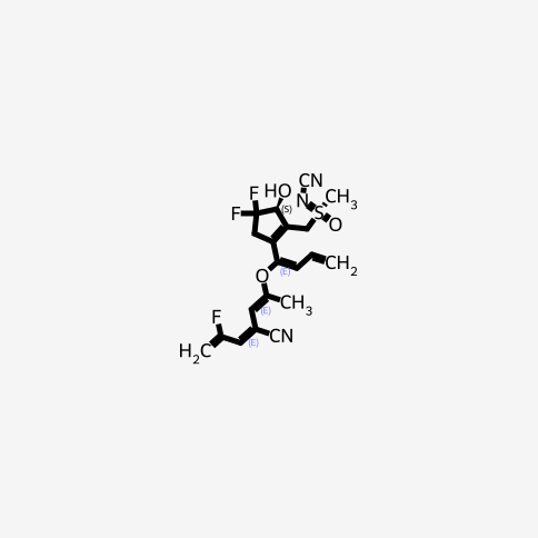 C=C/C=C(/O/C(C)=C/C(C#N)=C\C(=C)F)C1=C(CS(C)(=O)=NC#N)[C@H](O)C(F)(F)C1